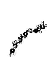 N#Cc1ccc(N2CCc3c(ncnc3Nc3ccc(C(=O)NC4CCC(CN5CCN(c6ccc7c(c6)C(=O)N(C6CCC(=O)NC6=O)C7=O)CC5)CC4)c(F)n3)C2)cc1Cl